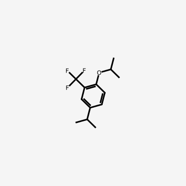 CC(C)Oc1ccc(C(C)C)cc1C(F)(F)F